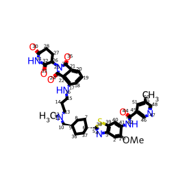 COc1cc2nc([C@H]3CC[C@H](CN(C)CCCNc4cccc5c4C(=O)N(C4CCC(=O)NC4=O)C5=O)CC3)sc2cc1NC(=O)c1cncc(C)c1